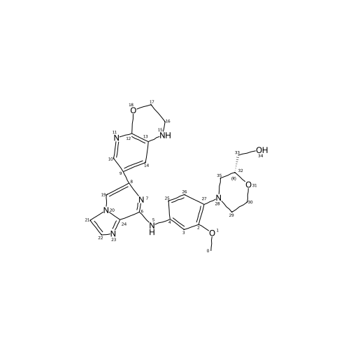 COc1cc(Nc2nc(-c3cnc4c(c3)NCCO4)cn3ccnc23)ccc1N1CCO[C@@H](CO)C1